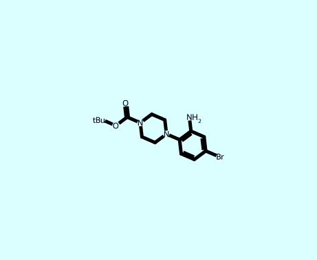 CC(C)(C)OC(=O)N1CCN(c2ccc(Br)cc2N)CC1